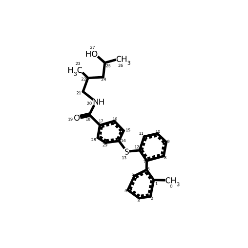 Cc1ccccc1-c1ccccc1Sc1ccc(C(=O)NCC(C)CC(C)O)cc1